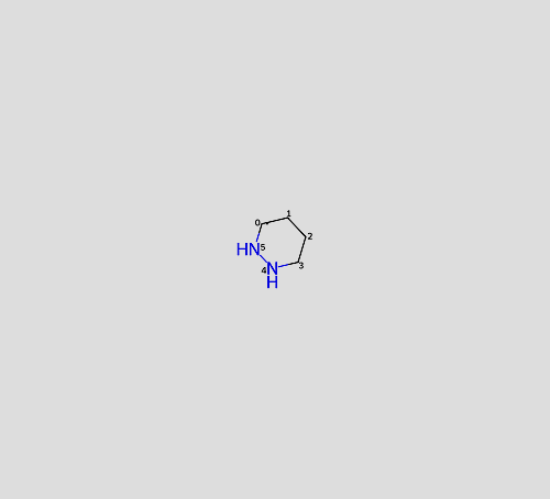 [CH]1CCCNN1